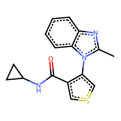 Cc1nc2ccccc2n1-c1cscc1C(=O)NC1CC1